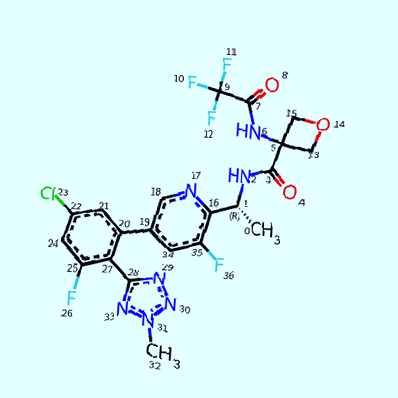 C[C@@H](NC(=O)C1(NC(=O)C(F)(F)F)COC1)c1ncc(-c2cc(Cl)cc(F)c2-c2nnn(C)n2)cc1F